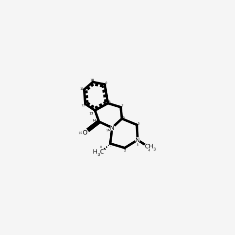 C[C@H]1CN(C)CC2Cc3ccccc3C(=O)N21